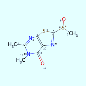 Cc1nc2sc([S+](C)[O-])nc2c(=O)n1C